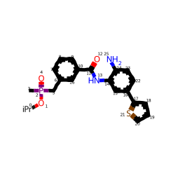 CC(C)OP(C)(=O)Cc1cccc(C(=O)Nc2cc(-c3cccs3)ccc2N)c1